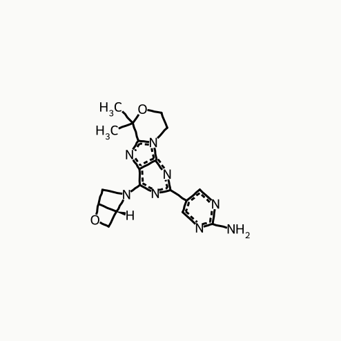 CC1(C)OCCn2c1nc1c(N3CC4OC[C@H]43)nc(-c3cnc(N)nc3)nc12